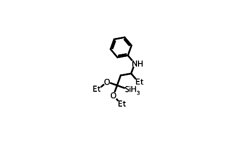 CCOC([SiH3])(CC(CC)Nc1ccccc1)OCC